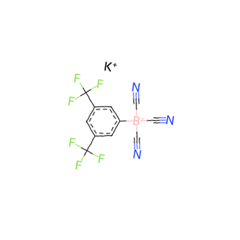 N#C[B-](C#N)(C#N)c1cc(C(F)(F)F)cc(C(F)(F)F)c1.[K+]